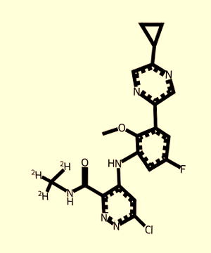 [2H]C([2H])([2H])NC(=O)c1nnc(Cl)cc1Nc1cc(F)cc(-c2cnc(C3CC3)cn2)c1OC